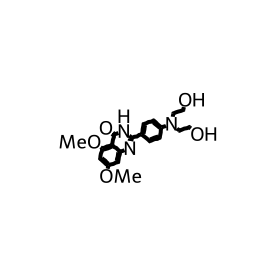 COc1cc(OC)c2c(=O)[nH]c(-c3ccc(N(CCO)CCO)cc3)nc2c1